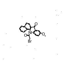 COc1cccc(C(=O)c2ccc3ccccc3c2NC(=O)CBr)c1